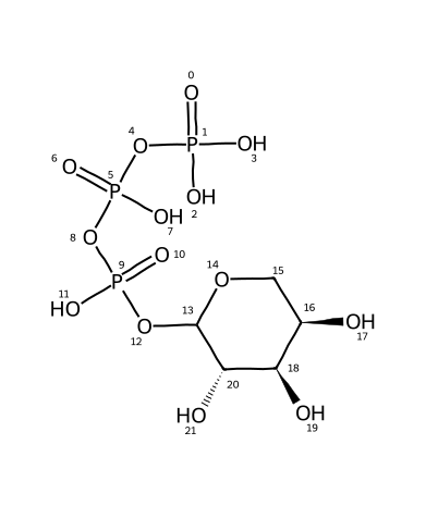 O=P(O)(O)OP(=O)(O)OP(=O)(O)OC1OC[C@@H](O)[C@@H](O)[C@@H]1O